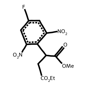 CCOC(=O)CC(C(=O)OC)c1c([N+](=O)[O-])cc(F)cc1[N+](=O)[O-]